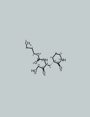 CCCCOC(=O)N[C@@H](C[C@@H]1CCCNC1=O)C(=O)CO